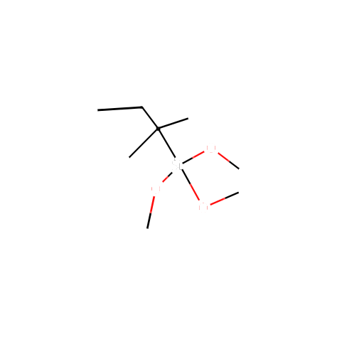 CCC(C)(C)[Si](OC)(OC)OC